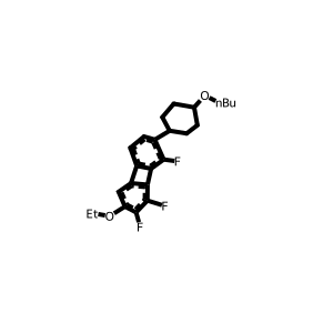 CCCCOC1CCC(c2ccc3c(c2F)-c2c-3cc(OCC)c(F)c2F)CC1